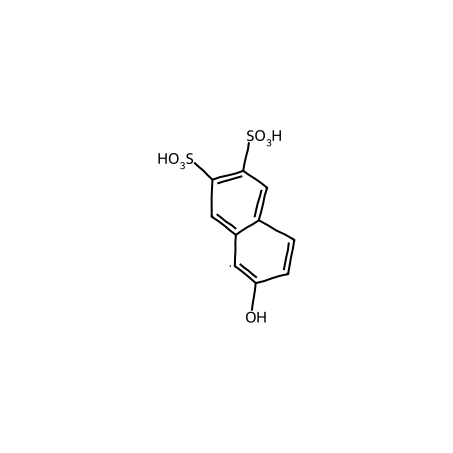 O=S(=O)(O)c1cc2[c]c(O)ccc2cc1S(=O)(=O)O